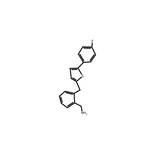 NCc1ccccc1Cc1ccc(-c2ccc(F)cc2)s1